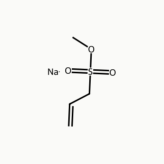 C=CCS(=O)(=O)OC.[Na]